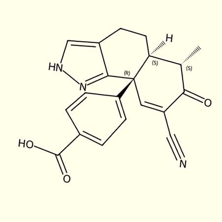 C[C@@H]1C(=O)C(C#N)=C[C@]2(c3ccc(C(=O)O)cc3)c3n[nH]cc3CC[C@@H]12